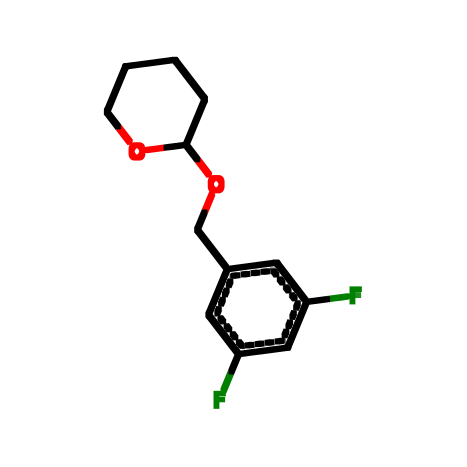 Fc1cc(F)cc(COC2CCCCO2)c1